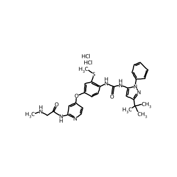 CNCC(=O)Nc1cc(Oc2ccc(NC(=O)Nc3cc(C(C)(C)C)nn3-c3ccccc3)c(SC)c2)ccn1.Cl.Cl